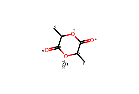 CC1OC(=O)C(C)OC1=O.[Zn]